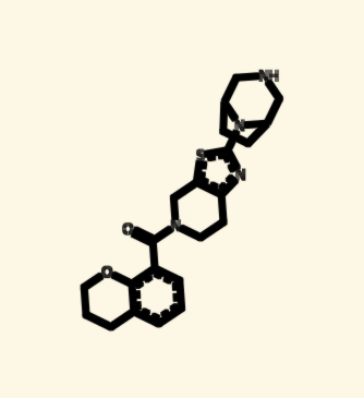 O=C(c1cccc2c1OCCC2)N1CCc2nc(N3C4CCC3CNC4)sc2C1